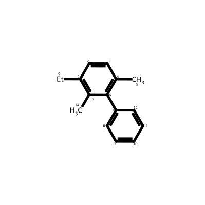 CCc1ccc(C)c(-c2ccccc2)c1C